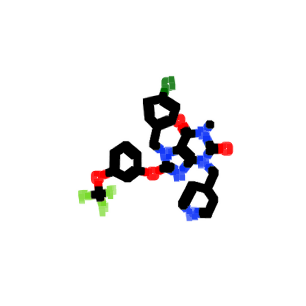 Cn1c(=O)c2c(nc(Oc3cccc(OC(F)(F)F)c3)n2Cc2ccc(Cl)cc2)n(CC2C=CN=CC2)c1=O